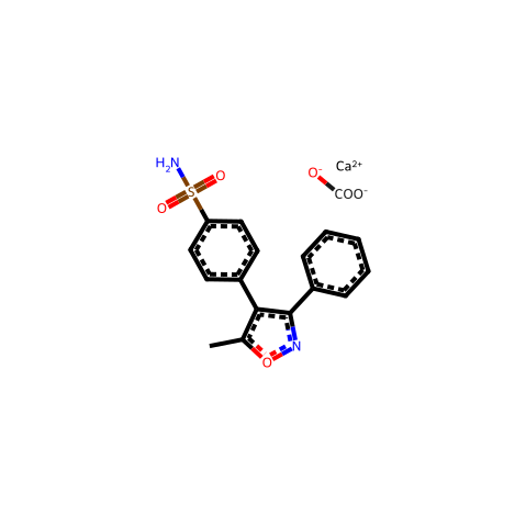 Cc1onc(-c2ccccc2)c1-c1ccc(S(N)(=O)=O)cc1.O=C([O-])[O-].[Ca+2]